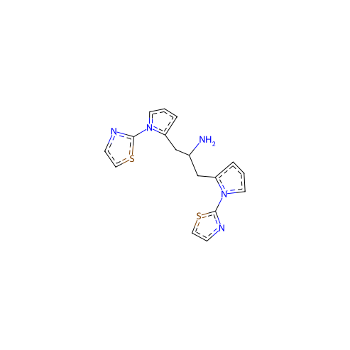 NC(Cc1cccn1-c1nccs1)Cc1cccn1-c1nccs1